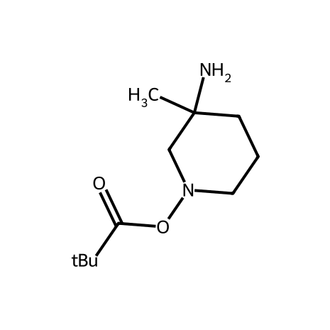 CC1(N)CCCN(OC(=O)C(C)(C)C)C1